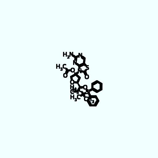 CCC(O[Si](c1ccccc1)(c1ccccc1)C(C)(C)C)[C@@H]1C[C@](OC(C)=O)(n2c(=O)sc3cnc(N)nc32)CO1